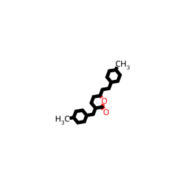 CC1CCC(CCC2CCC(CC3CCC(C)CC3)C(=O)O2)CC1